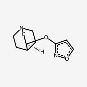 c1cc(O[C@@H]2CN3CCC2CC3)no1